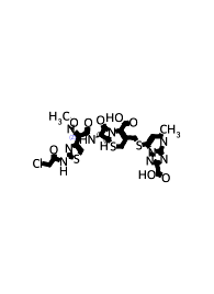 CO/N=C(\C(=O)N[C@@H]1C(=O)N2C(C(=O)O)=C(CSc3cc(C)nc4nc(C(=O)O)nn34)CS[C@H]12)c1csc(NC(=O)CCl)n1